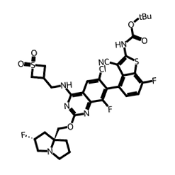 CC(C)(C)OC(=O)Nc1sc2c(F)ccc(-c3c(Cl)cc4c(NCC5CS(=O)(=O)C5)nc(OC[C@@]56CCCN5C[C@H](F)C6)nc4c3F)c2c1C#N